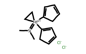 C[Si](C)=[Hf+2]1([C]2=CC=CC2)([C]2=CC=CC2)[CH2][CH2]1.[Cl-].[Cl-]